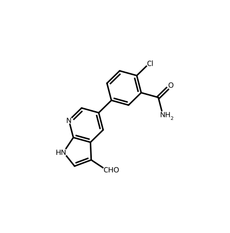 NC(=O)c1cc(-c2cnc3[nH]cc(C=O)c3c2)ccc1Cl